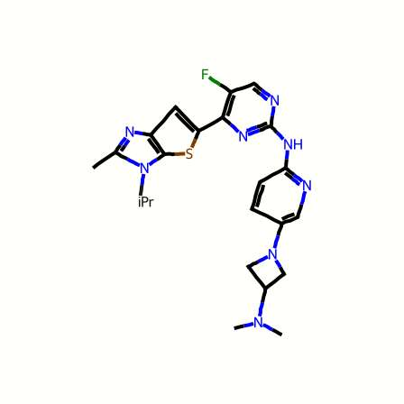 Cc1nc2cc(-c3nc(Nc4ccc(N5CC(N(C)C)C5)cn4)ncc3F)sc2n1C(C)C